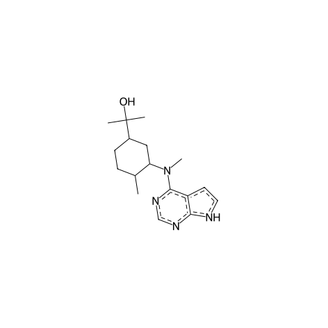 CC1CCC(C(C)(C)O)CC1N(C)c1ncnc2[nH]ccc12